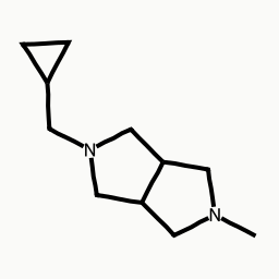 CN1CC2CN(CC3CC3)CC2C1